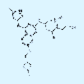 CCCPCC(CC(CC)NCCC#N)Nc1nc(Nc2cc(C)[nH]n2)c2ccc(OCC3CN(C)C3)cc2n1